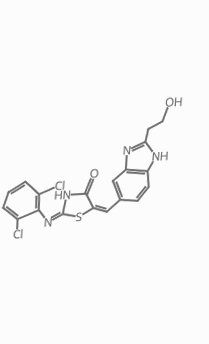 O=C1NC(=Nc2c(Cl)cccc2Cl)SC1=Cc1ccc2[nH]c(CCO)nc2c1